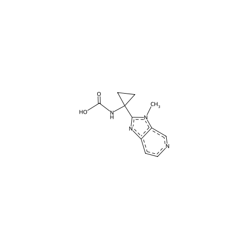 Cn1c(C2(NC(=O)O)CC2)nc2ccncc21